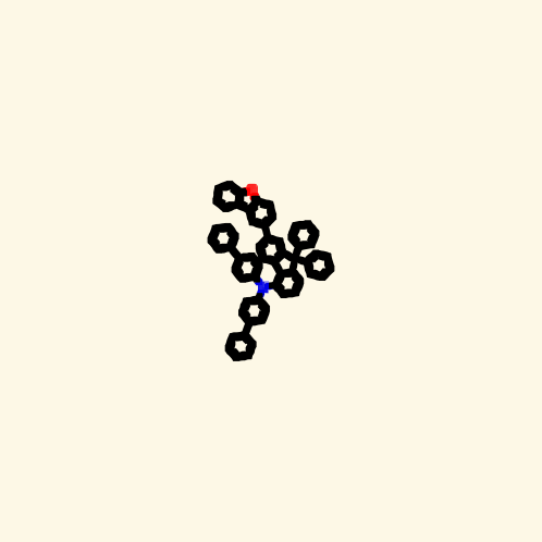 c1ccc(-c2ccc(N(c3ccc(-c4ccccc4)cc3)c3cccc4c3-c3ccc(-c5ccc6oc7ccccc7c6c5)cc3C4(c3ccccc3)c3ccccc3)cc2)cc1